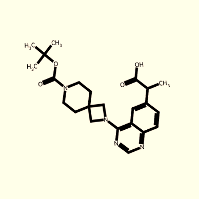 CC(C(=O)O)c1ccc2ncnc(N3CC4(CCN(C(=O)OC(C)(C)C)CC4)C3)c2c1